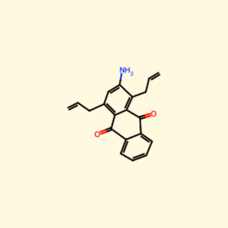 C=CCc1cc(N)c(CC=C)c2c1C(=O)c1ccccc1C2=O